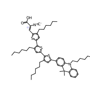 [C-]#[N+]/C(=C\c1sc(-c2sc(-c3sc(-c4ccc5c(c4)C(C)(C)c4ccccc4N5CCCCCC)cc3CCCCCC)cc2CCCCCC)cc1CCCCCC)C(=O)O